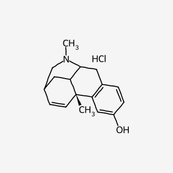 CN1CC2C=C[C@@]3(C)c4cc(O)ccc4CC1C3C2.Cl